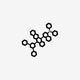 c1ccc(-c2cc(-c3ccccc3)cc(-c3c4ccccc4c(-c4ccc(N(c5ccccc5)c5ccccc5)c5ccccc45)c4cc5ccccc5cc34)c2)cc1